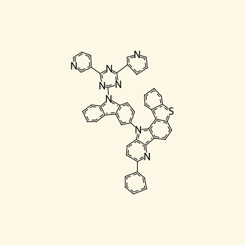 c1ccc(-c2ccc3c(n2)c2ccc4sc5ccccc5c4c2n3-c2ccc3c(c2)c2ccccc2n3-c2nc(-c3cccnc3)nc(-c3cccnc3)n2)cc1